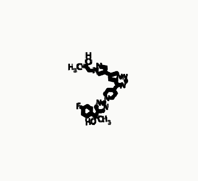 C[C@@H](O)Cn1cc(-c2cc3c(C4=CCN(c5ncc([C@@](C)(O)c6ccc(F)cc6)cn5)CC4)ncnn3c2)cn1